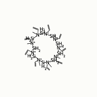 C=C[N+]1(C)[SiH2][N+](C)(C=C)[SiH2][N+](C)(C=C)[SiH2][N+](C)(C=C)[SiH2][N+](C)(C=C)[SiH2][N+](C)(C=C)[SiH2][N+](C)(C=C)[SiH2][N+](C)(C=C)[SiH2][N+](C)(C=C)[SiH2]1